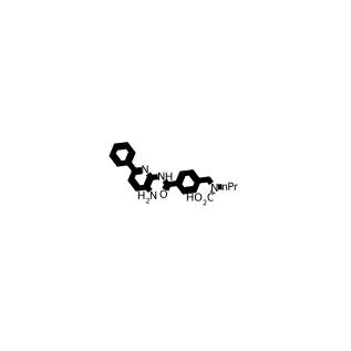 CCCN(Cc1ccc(C(=O)Nc2nc(-c3ccccc3)ccc2N)cc1)C(=O)O